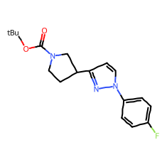 CC(C)(C)OC(=O)N1CCC(c2ccn(-c3ccc(F)cc3)n2)C1